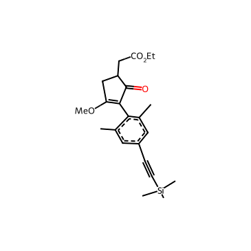 CCOC(=O)CC1CC(OC)=C(c2c(C)cc(C#C[Si](C)(C)C)cc2C)C1=O